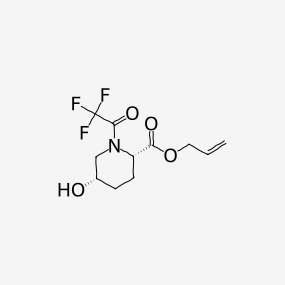 C=CCOC(=O)[C@@H]1CC[C@H](O)CN1C(=O)C(F)(F)F